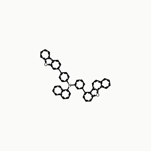 c1cc(-c2cccc3oc4c5ccccc5ccc4c23)cc(N(c2ccc(-c3ccc4c(c3)oc3ccccc34)cc2)c2cccc3ccccc23)c1